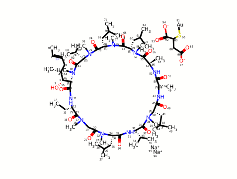 C/C=C/C[C@@H](C)[C@@H](O)[C@H]1C(=O)N[C@@H](CC)C(=O)N(C)CC(=O)N(C)[C@@H](CC(C)C)C(=O)N[C@@H](C(C)C)C(=O)N(C)[C@@H](CC(C)C)C(=O)N[C@@H](C)C(=O)N[C@H](C)C(=O)N(C)[C@@H](CC(C)C)C(=O)N(C)[C@@H](CC(C)C)C(=O)N(C)[C@@H](C(C)C)C(=O)N1C.O=C([O-])CC([S][Au])C(=O)[O-].[Na+].[Na+]